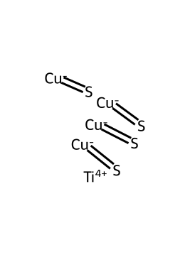 [S]=[Cu-].[S]=[Cu-].[S]=[Cu-].[S]=[Cu-].[Ti+4]